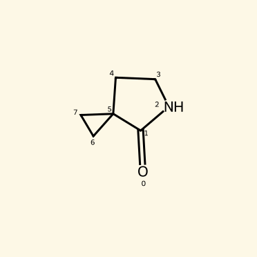 O=C1NCCC12CC2